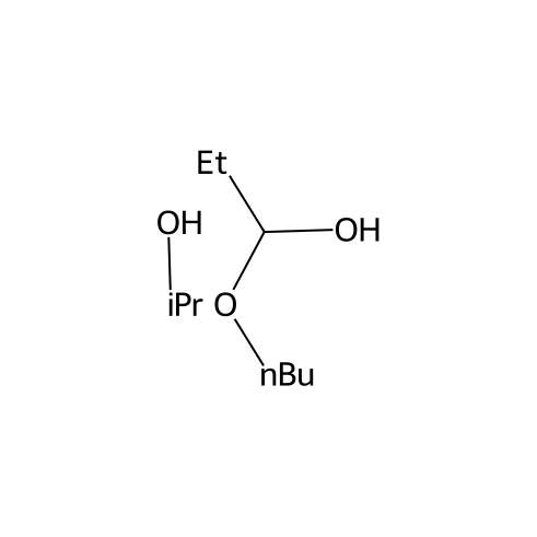 CC(C)O.CCCCOC(O)CC